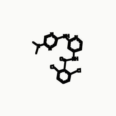 CN(C)c1cnc(Nc2cc(NC(=O)c3c(Cl)cccc3Cl)ccn2)cn1